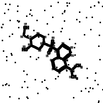 CN(C)c1cccc2c(S(=O)(=O)N3CC[C@@H](CO)[C@H](O)C3)cccc12